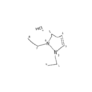 CCN1C=CCN1CC.Cl